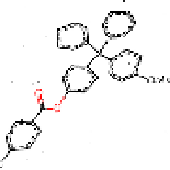 COc1ccc(C(c2ccccc2)(c2ccccc2)c2ccc(OC(=O)c3ccc(C(C)=O)cc3)cc2)cc1